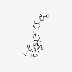 N#CCC1(n2cc(CN)c(NC(=O)C3CC3)n2)CCN(Cc2ccc(-c3csc(Cl)c3)nc2)CC1